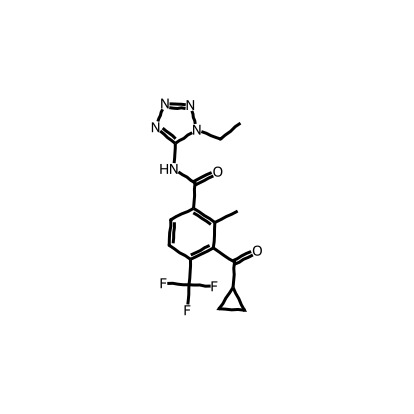 CCn1nnnc1NC(=O)c1ccc(C(F)(F)F)c(C(=O)C2CC2)c1C